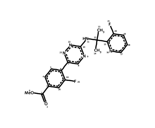 COC(=O)c1ccc(-c2cnc(NC(C)(C)c3ncccc3F)nn2)c(F)c1